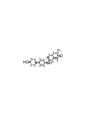 Cn1c(=O)c(F)cc2cnc(Nc3ccc(N4CCC(O)CC4)cc3)cc21